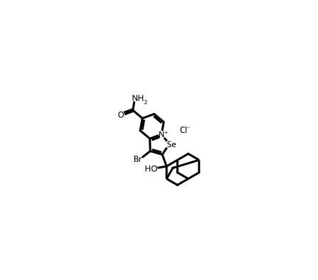 NC(=O)c1cc[n+]2[se]c(C3(O)C4CC5CC(C4)CC3C5)c(Br)c2c1.[Cl-]